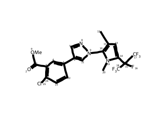 COC(=O)c1cc(-c2cnn(-c3c(C)cc(C(F)(C(F)(F)F)C(F)(F)F)n3C)c2)ccc1Cl